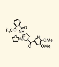 COc1cc(C(=O)N2CC[C@@H](NC(=O)c3ccccc3OC(F)(F)F)[C@H](n3cccn3)C2)cnc1OC